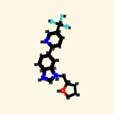 FC(F)(F)c1ccc(-c2ccc3ncn(CC4CCCO4)c3c2)nc1